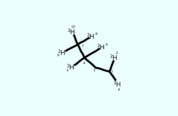 [2H]C([2H])CC([2H])([2H])C([2H])([2H])[2H]